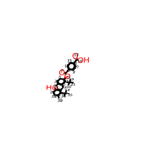 Cc1ccc(OC(=O)c2ccc(C(=O)O)cc2)c(C(C)(C)C)c1Cc1c(O)ccc(C)c1C(C)(C)C